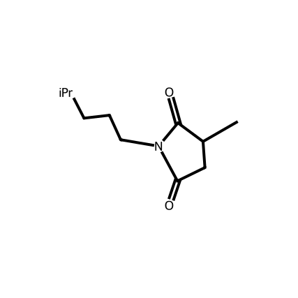 CC(C)CCCN1C(=O)CC(C)C1=O